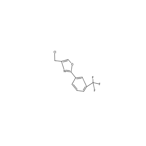 FC(F)(F)c1cccc(-c2nc(CCl)co2)c1